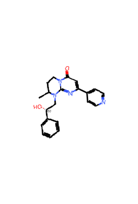 CC1CCn2c(nc(-c3ccncc3)cc2=O)N1C[C@@H](O)c1ccccc1